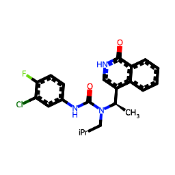 CC(C)CN(C(=O)Nc1ccc(F)c(Cl)c1)[C@H](C)c1c[nH]c(=O)c2ccccc12